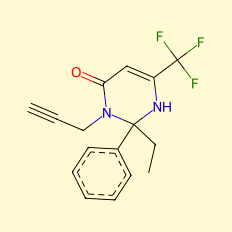 C#CCN1C(=O)C=C(C(F)(F)F)NC1(CC)c1ccccc1